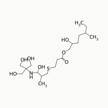 CCC(C)CCC(O)COC(=O)CCSCC(C)C(O)NC(CO)(CO)CO